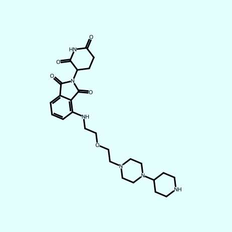 O=C1CCC(N2C(=O)c3cccc(NCCOCCN4CCN(C5CCNCC5)CC4)c3C2=O)C(=O)N1